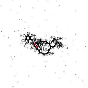 CCc1c(Cl)c(O)c(Cl)c(O)c1C(=O)OC1C(C)OC(OC/C2=C\C=C\CC(O)/C(C)=C/C3CCC4(C)OC(OC3/C(C)=C/C(C)=C/CC(C(C)O)OC2=O)C(O)C(O)C4OC(C)=O)C(OC)C1O